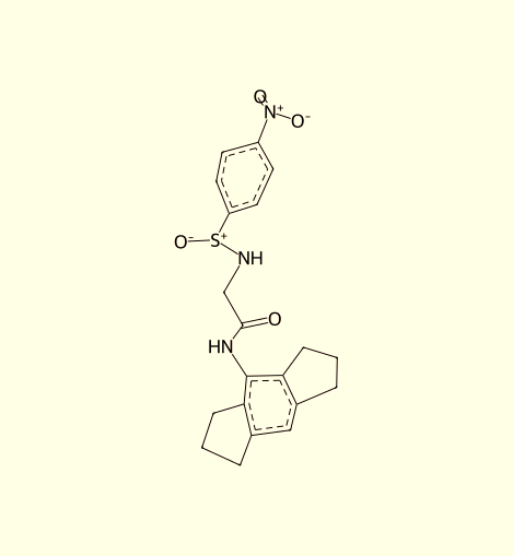 O=C(CN[S+]([O-])c1ccc([N+](=O)[O-])cc1)Nc1c2c(cc3c1CCC3)CCC2